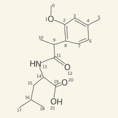 COc1cc(C)ccc1C(C)C(=O)NC(CC(C)C)C(=O)O